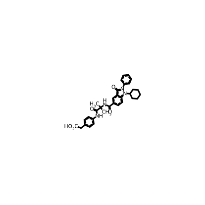 CC(C)(NC(=O)c1ccc2c(c1)c(=O)n(-c1ccccc1)n2C1CCCCC1)C(=O)Nc1ccc(CC(=O)O)cc1